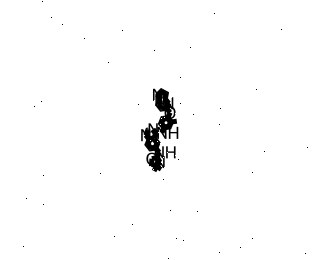 Cc1cc(Nc2ncnc3ccc(NC4=NC(C)(C)CO4)cc23)ccc1Oc1ccn2nccc2n1